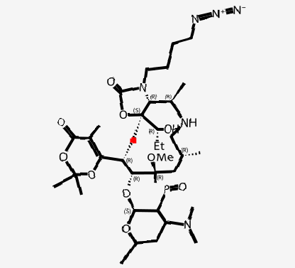 CC[C@@H](O)[C@@]1(C)OC(=O)N(CCCCN=[N+]=[N-])[C@@H]1[C@@H](C)NC[C@H](C)C[C@@](C)(OC)[C@H](O[C@@H]1OC(C)CC(N(C)C)C1P=O)[C@@H](C)C1=C(C)C(=O)OC(C)(C)O1